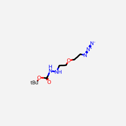 CC(C)(C)OC(=O)NNCCOCCN=[N+]=[N-]